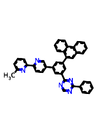 Cc1cccc(-c2ccc(-c3cc(-c4ncnc(-c5ccccc5)n4)cc(-c4cc5ccccc5c5ccccc45)c3)cn2)n1